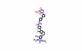 CC(C)c1cc(N2CCCc3cc(-c4ccc(C(=O)NCc5ccc(-c6cccc(N7CCC(=O)N(CO)C7=O)c6)cc5)nc4)c(C(F)F)cc32)cc2c1n(C)c(=O)n2C